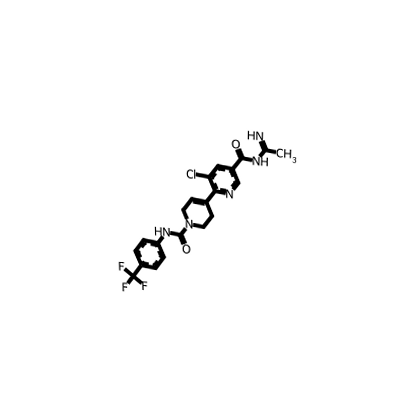 CC(=N)NC(=O)c1cnc(C2=CCN(C(=O)Nc3ccc(C(F)(F)F)cc3)CC2)c(Cl)c1